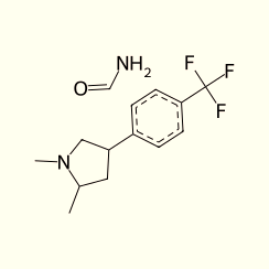 CC1CC(c2ccc(C(F)(F)F)cc2)CN1C.NC=O